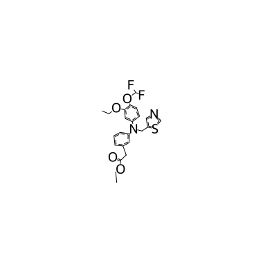 CCOC(=O)Cc1cccc(N(Cc2cncs2)c2ccc(OC(F)F)c(OCC)c2)c1